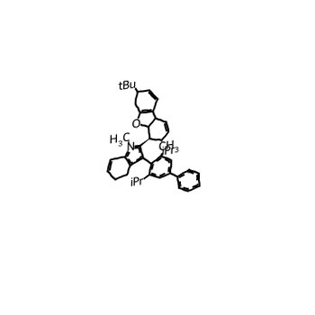 CC(C)c1cc(-c2ccccc2)cc(C(C)C)c1-c1c2c(n(C)c1[C@@H]1C(C)C=CC3C4=C(CC(C(C)(C)C)C=C4)OC31)C=CCC2